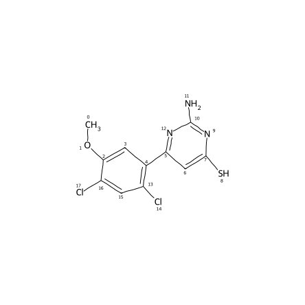 COc1cc(-c2cc(S)nc(N)n2)c(Cl)cc1Cl